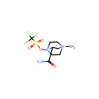 C[N+]12CC[N+](OS(=O)(=O)C(F)(F)F)(CC1)C(C(N)=O)C2